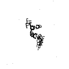 O=C(OC(C(F)(F)F)C(F)(F)F)N1CCC2(CCN(Cc3cc(N4CCOCC4)cc(C(F)(F)F)c3)C2)CC1